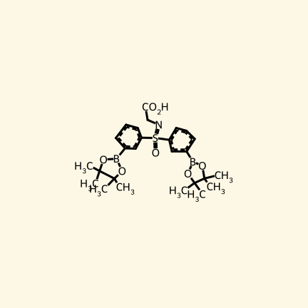 CC1(C)OB(c2cccc(S(=O)(=NCC(=O)O)c3cccc(B4OC(C)(C)C(C)(C)O4)c3)c2)OC1(C)C